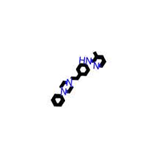 Cc1cccnc1NC1CCC(CCN2CCN(c3ccccc3)CC2)CC1